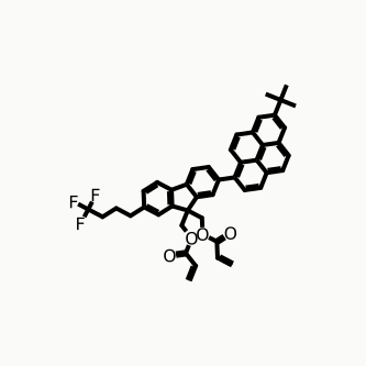 C=CC(=O)OCC1(COC(=O)C=C)c2cc(CCCC(F)(F)F)ccc2-c2ccc(-c3ccc4ccc5cc(C(C)(C)C)cc6ccc3c4c56)cc21